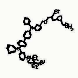 BCOCC(CC)COCc1cccc(N(c2ccccc2)c2ccc(-c3ccc(N(c4ccccc4)c4cccc(PCC(CC)(CC)CCCC)c4)cc3)cc2)c1